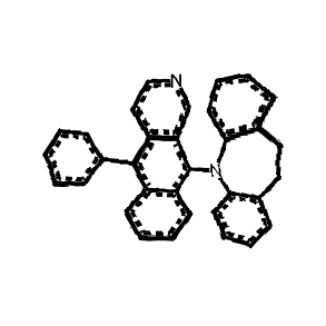 c1ccc(-c2c3ccccc3c(N3c4ccccc4CCc4ccccc43)c3cnccc23)cc1